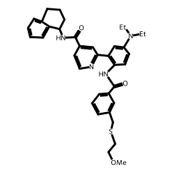 CCN(CC)c1ccc(NC(=O)c2cccc(CSCCOC)c2)c(-c2cc(C(=O)NC3CCCc4ccccc43)ccn2)c1